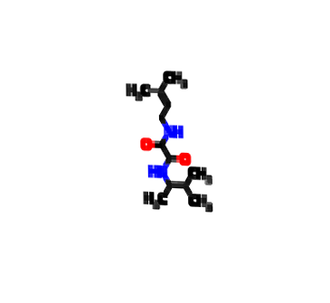 CC(C)=CCNC(=O)C(=O)NC(C)=C(C)C